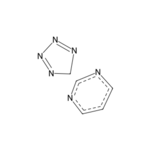 C1N=NN=N1.c1cncnc1